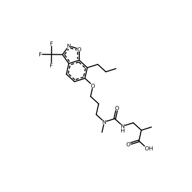 CCCc1c(OCCCN(C)C(=O)NCC(C)C(=O)O)ccc2c(C(F)(F)F)noc12